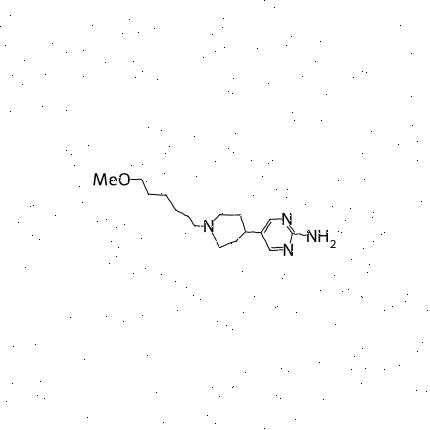 COCCCCCCN1CCC(c2cnc(N)nc2)CC1